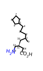 CC(CCCC1CCCC1)C[C@H](CN)CC(=O)O